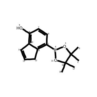 CC1(C)OB(c2ccc(O)c3c2CC=C3)OC1(C)C